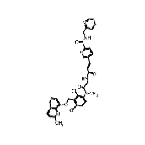 Cc1ccc2cccc(OCc3c(Cl)ccc(N(C)C(=O)CNC(=O)C=Cc4ccc(C(=O)NCc5ccccn5)nc4)c3Cl)c2n1